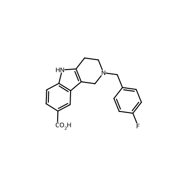 O=C(O)c1ccc2[nH]c3c(c2c1)CN(Cc1ccc(F)cc1)CC3